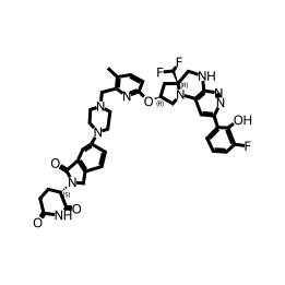 Cc1ccc(O[C@H]2CN3c4cc(-c5cccc(F)c5O)nnc4NC[C@@]3(C(F)F)C2)nc1CN1CCN(c2ccc3c(c2)C(=O)N([C@H]2CCC(=O)NC2=O)C3)CC1